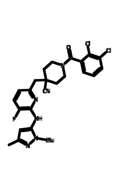 Cc1cc(Nc2nc(CC3(C#N)CCN(C(=O)c4cccc(Cl)c4Cl)CC3)ccc2F)n(C(C)(C)C)n1